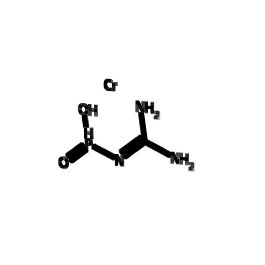 NC(N)=N[PH](=O)O.[Cr]